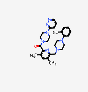 Cc1cc(C)c(C(=O)N2CCN(c3cccnn3)CC2)nc1CN1CCN(c2ccccc2C#N)CC1